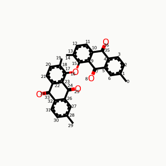 Cc1ccc2c(c1)C(=O)c1c(ccc(C)c1Oc1c(C)ccc3c1C(=O)c1cc(C)ccc1C3=O)C2=O